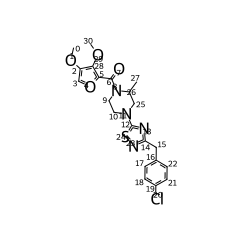 COc1coc(C(=O)N2CCN(c3nc(Cc4ccc(Cl)cc4)ns3)CC2C)c1OC